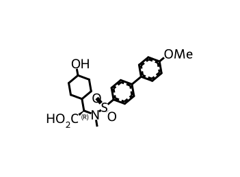 COc1ccc(-c2ccc(S(=O)(=O)N(C)[C@@H](C(=O)O)C3CCC(O)CC3)cc2)cc1